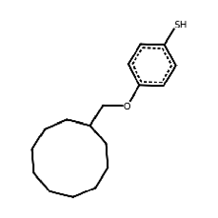 Sc1ccc(OCC2CCCCCCCCC2)cc1